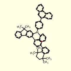 CC1(C)CCC(C)(C)c2c(-c3ccc(-c4cc5c(cc4N(c4ccccc4)c4ccc(-c6cc7ccccc7c7ccccc67)cc4)C(C)(C)c4ccccc4-5)cc3)cccc21